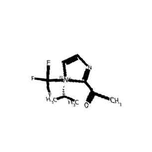 CC(=O)C1=NC=C[N@+]1(C(C)C)C(F)(F)F